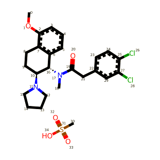 COc1cccc2c1CC[C@H](N1CCCC1)[C@H]2N(C)C(=O)Cc1ccc(Cl)c(Cl)c1.CS(=O)(=O)O